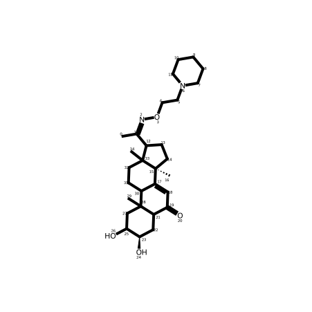 C/C(=N/OCCN1CCCCC1)C1CC[C@@]2(C)C3=CC(=O)C4C[C@@H](O)C(O)CC4(C)C3CCC12C